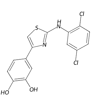 Oc1ccc(-c2csc(Nc3cc(Cl)ccc3Cl)n2)cc1O